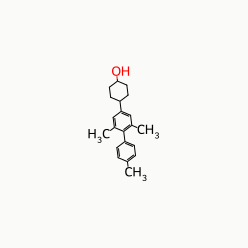 Cc1ccc(-c2c(C)cc(C3CCC(O)CC3)cc2C)cc1